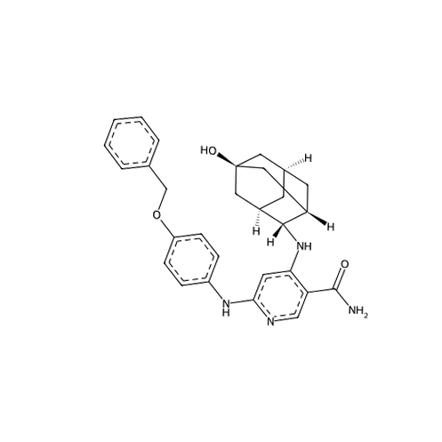 NC(=O)c1cnc(Nc2ccc(OCc3ccccc3)cc2)cc1N[C@@H]1[C@@H]2C[C@@H]3C[C@H]1C[C@@](O)(C3)C2